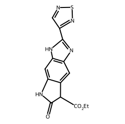 CCOC(=O)C1C(=O)Nc2cc3[nH]c(-c4cnsn4)nc3cc21